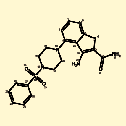 NC(=O)c1sc2nccc(N3CCN(S(=O)(=O)c4ccccc4)CC3)c2c1N